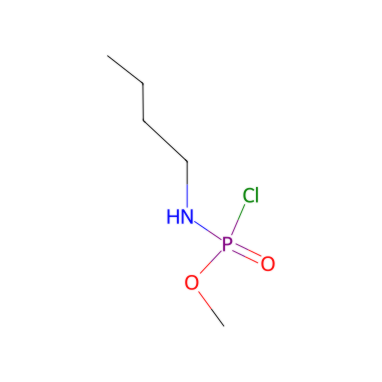 CCCCNP(=O)(Cl)OC